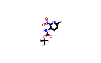 Cc1ccc(NC(=O)OC(C)(C)C)c([N+](=O)[O-])n1